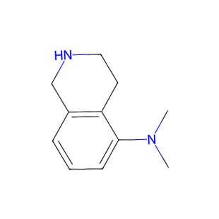 CN(C)c1cccc2c1CCNC2